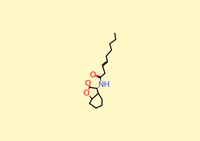 CCCCC/C=C/CC(=O)N[C@H]1C(=O)OC2CCCCC21